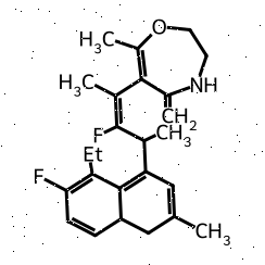 C=C1NCCOC(C)=C1/C(C)=C(/F)C(C)C1=C2C(CC)=C(F)C=CC2CC(C)=C1